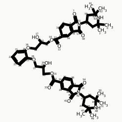 CC1(C)CC(N2C(=O)c3ccc(C(=O)OCC(O)COc4ccccc4OCC(O)COC(=O)c4ccc5c(c4)C(=O)N(C4CC(C)(C)NC(C)(C)C4)C5=O)cc3C2=O)CC(C)(C)N1